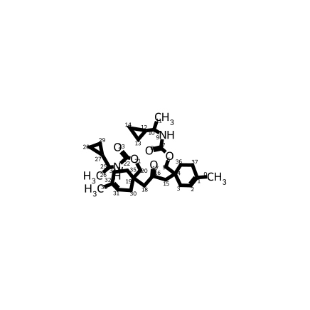 CC1=CCC(COC(=O)NC(C)C2CC2)(CC(=O)CC2(COC(=O)NC(C)C3CC3)CC=C(C)CC2)CC1